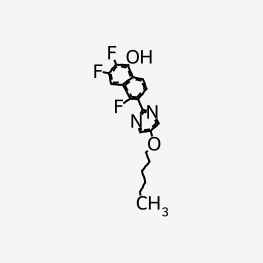 CCCCCCOc1cnc(-c2ccc3c(O)c(F)c(F)cc3c2F)nc1